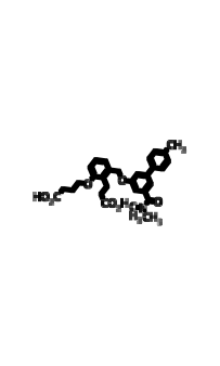 Cc1ccc(-c2cc(OCc3cccc(OCCCC(=O)O)c3CCC(=O)O)cc(C(=O)N(C)C)c2)cc1